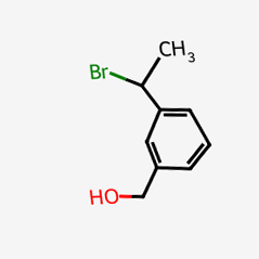 CC(Br)c1cccc(CO)c1